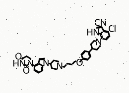 N#Cc1c[nH]c2c(N3CCC(c4ccc(OCCCCN5CCC(n6ccc7c(N8CCC(=O)NC8=O)cccc76)CC5)cc4)CC3)ccc(Cl)c12